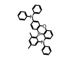 Cc1cc(C)c2c(c1)N(c1ccccc1)c1cccc3c1B2c1ccc(N(c2ccccc2)c2ccccc2)cc1O3